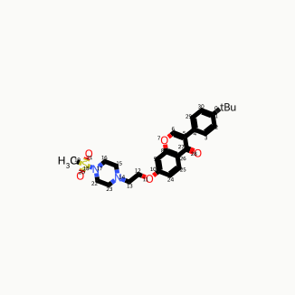 CC(C)(C)c1ccc(-c2coc3cc(OCCN4CCN(S(C)(=O)=O)CC4)ccc3c2=O)cc1